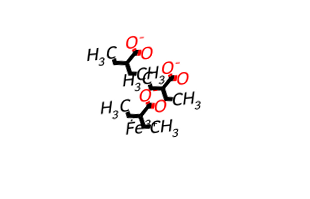 CCC(CC)C(=O)[O-].CCC(CC)C(=O)[O-].CCC(CC)C(=O)[O-].[Fe+3]